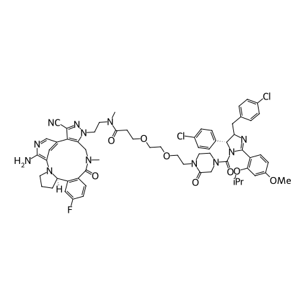 COc1ccc(C2=NC(Cc3ccc(Cl)cc3)[C@@H](c3ccc(Cl)cc3)N2C(=O)N2CCN(CCOCCOCCC(=O)N(C)CCn3nc(C#N)c4c3CN(C)C(=O)c3ccc(F)cc3[C@H]3CCCN3c3cc-4cnc3N)C(=O)C2)c(OC(C)C)c1